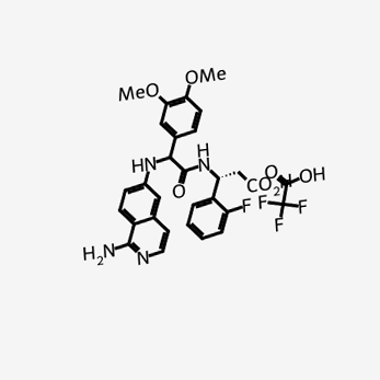 COc1ccc(C(Nc2ccc3c(N)nccc3c2)C(=O)N[C@H](CC(=O)O)c2ccccc2F)cc1OC.O=C(O)C(F)(F)F